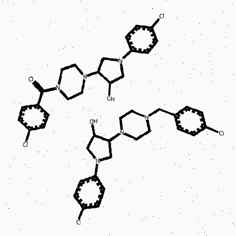 O=C(c1ccc(Cl)cc1)N1CCN(C2CN(c3ccc(Cl)cc3)CC2O)CC1.OC1CN(c2ccc(Cl)cc2)CC1N1CCN(Cc2ccc(Cl)cc2)CC1